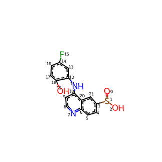 O=S(O)c1ccc2nccc(Nc3cc(F)ccc3O)c2c1